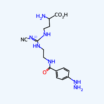 N#C/N=C(\NCCNC(=O)c1ccc(NN)cc1)NCCC(N)C(=O)O